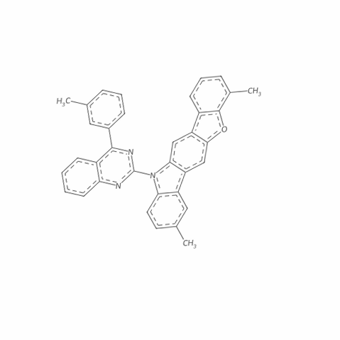 Cc1cccc(-c2nc(-n3c4ccc(C)cc4c4cc5oc6c(C)cccc6c5cc43)nc3ccccc23)c1